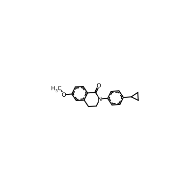 COc1ccc2c(c1)CCN(c1ccc(C3CC3)cc1)C2=O